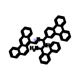 NC(NC(/N=C/c1c2ccccc2cc2c1ccc1ccccc12)c1ccc2c3ccccc3c3ccccc3c2c1)c1ccccc1-c1ccccc1